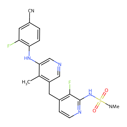 CNS(=O)(=O)Nc1nccc(Cc2cncc(Nc3ccc(C#N)cc3F)c2C)c1F